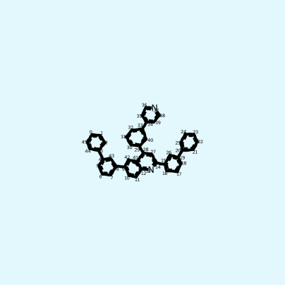 c1ccc(-c2cccc(-c3ccc4nc(-c5cccc(-c6ccccc6)c5)cc(-c5cccc(-c6ccncc6)c5)c4c3)c2)cc1